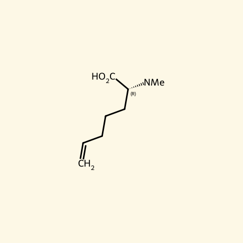 C=CCCC[C@@H](NC)C(=O)O